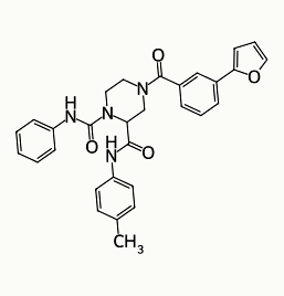 Cc1ccc(NC(=O)C2CN(C(=O)c3cccc(-c4ccco4)c3)CCN2C(=O)Nc2ccccc2)cc1